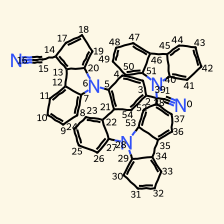 N#Cc1ccc(-n2c3ccccc3c3c(C#N)cccc32)c(-c2ccccc2-n2c3ccccc3c3ccc(-n4c5ccccc5c5ccccc54)cc32)c1